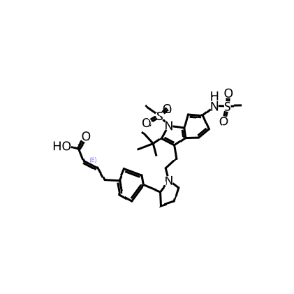 CC(C)(C)c1c(CCN2CCCC2c2ccc(C/C=C/C(=O)O)cc2)c2ccc(NS(C)(=O)=O)cc2n1S(C)(=O)=O